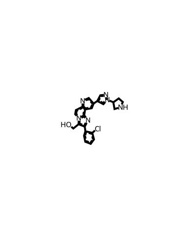 OCc1c(-c2ccccc2Cl)nc2c3cc(-c4cnn(C5CCNC5)c4)cnc3ccn12